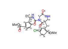 CC[C@@H](NC(=O)N1CC(=O)NCC(Cc2cc(Cl)ccc2OC)C1=O)c1cccc(C(=O)OC)c1